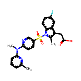 Cc1cccc(N(C)c2ccc(S(=O)(=O)n3c(C)c(CC(=O)O)c4cc(F)ccc43)cn2)n1